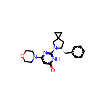 O=c1cc(N2CCOCC2)nc(N2CC3(CC3)C[C@@H]2Cc2ccccc2)[nH]1